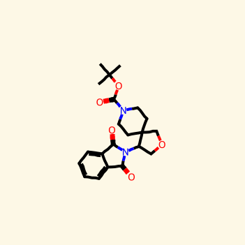 CC(C)(C)OC(=O)N1CCC2(CC1)COCC2N1C(=O)c2ccccc2C1=O